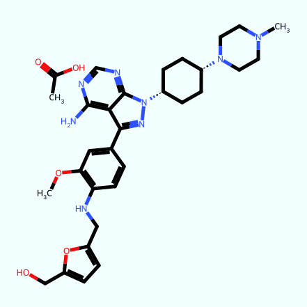 CC(=O)O.COc1cc(-c2nn([C@H]3CC[C@@H](N4CCN(C)CC4)CC3)c3ncnc(N)c23)ccc1NCc1ccc(CO)o1